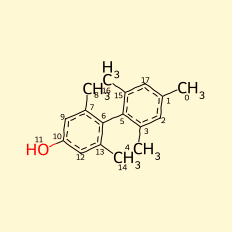 Cc1cc(C)c(-c2c(C)cc(O)cc2C)c(C)c1